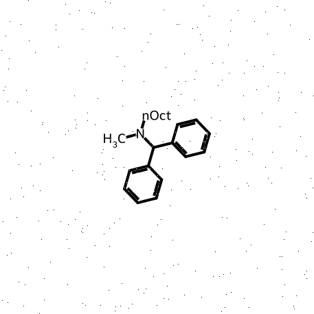 CCCCCCCCN(C)C(c1ccccc1)c1ccccc1